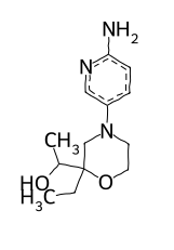 CCC1(C(C)O)CN(c2ccc(N)nc2)CCO1